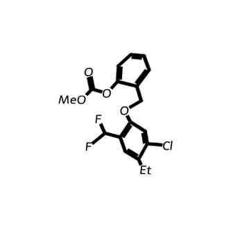 CCc1cc(C(F)F)c(OCc2ccccc2OC(=O)OC)cc1Cl